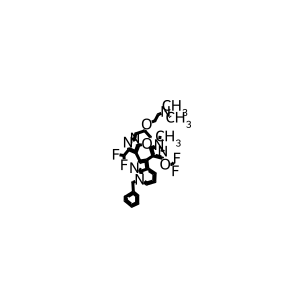 CN(C)CCOC1COc2c(-c3nc4n(Cc5ccccc5)cccc-4c3-c3cn(C)nc3OC(F)F)c(C(F)F)nn2C1